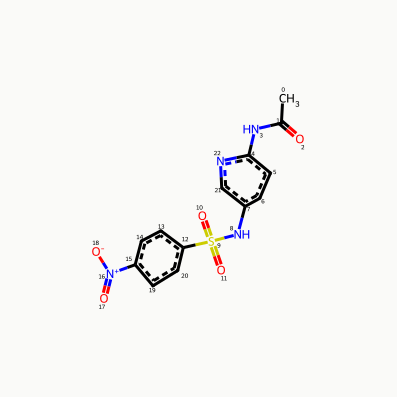 CC(=O)Nc1ccc(NS(=O)(=O)c2ccc([N+](=O)[O-])cc2)cn1